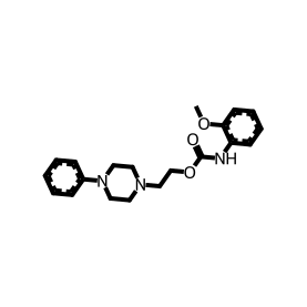 COc1ccccc1NC(=O)OCCN1CCN(c2ccccc2)CC1